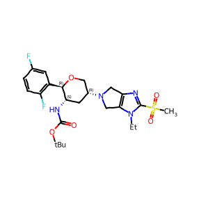 CCn1c(S(C)(=O)=O)nc2c1CN([C@H]1CO[C@H](c3cc(F)ccc3F)[C@@H](NC(=O)OC(C)(C)C)C1)C2